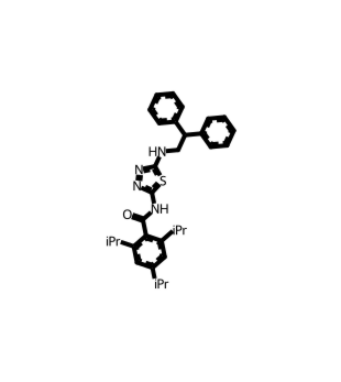 CC(C)c1cc(C(C)C)c(C(=O)Nc2nnc(NCC(c3ccccc3)c3ccccc3)s2)c(C(C)C)c1